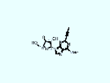 CC#Cc1nc(NC)c2ncn([C@@H]3O[C@H](CO)C(O)[C@@H]3O)c2n1